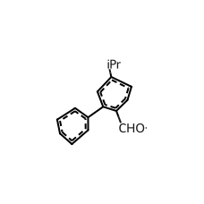 CC(C)c1ccc([C]=O)c(-c2ccccc2)c1